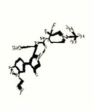 [2H]C([2H])([2H])N1CC[C@@H](Nc2nc(OC)c3c(-c4ccc5nnn(CCF)c5c4)c(F)cn3n2)C(F)(F)C1